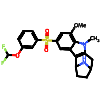 COc1cc(S(=O)(=O)c2cccc(OC(F)F)c2)cc2c3c(n(C)c12)CC1CCC3N1